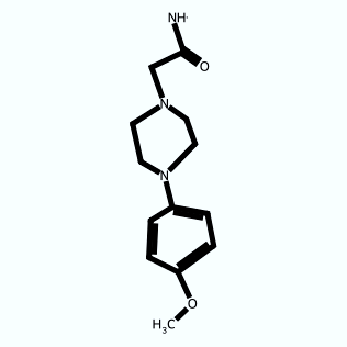 COc1ccc(N2CCN(CC([NH])=O)CC2)cc1